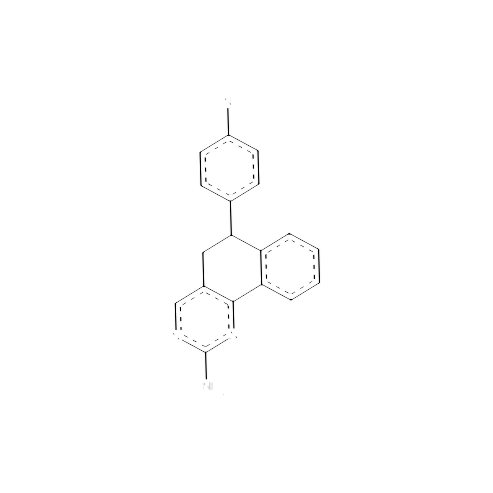 Nc1ccc(C2Cc3cnc(N)nc3-c3ccccc32)cc1